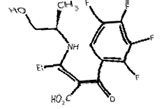 CCC(N[C@H](C)CO)=C(C(=O)O)C(=O)c1cc(F)c(F)c(F)c1F